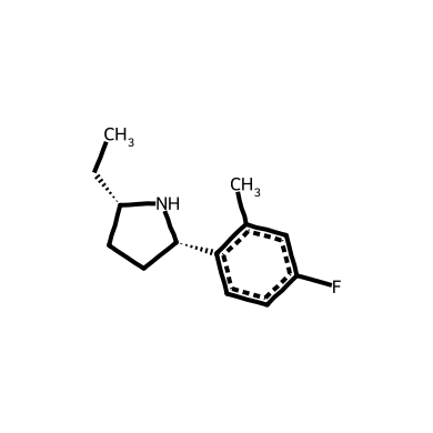 CC[C@H]1CC[C@@H](c2ccc(F)cc2C)N1